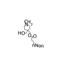 CCCCCCCCCCCC(=O)OCC1(CO)CCN(C)CC1